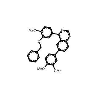 COc1ccc(-c2ccc3ncnc(-c4ccc(OC)c(OCc5ccccc5)c4)c3c2)cc1OC